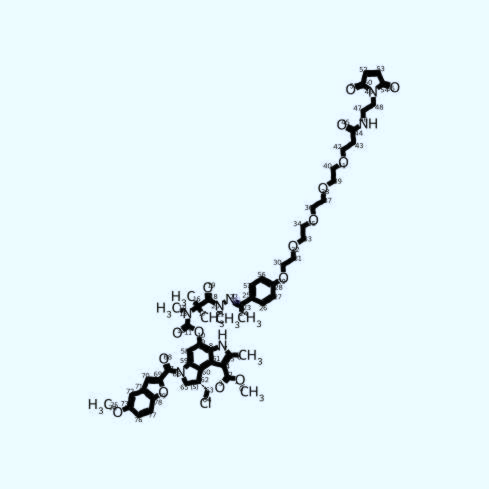 COC(=O)c1c(C)[nH]c2c(OC(=O)N(C)C(C)(C)C(=O)N(C)/N=C(\C)c3ccc(OCCOCCOCCOCCOCCC(=O)NCCN4C(=O)C=CC4=O)cc3)cc3c(c12)[C@H](CCl)CN3C(=O)c1cc2cc(OC)ccc2o1